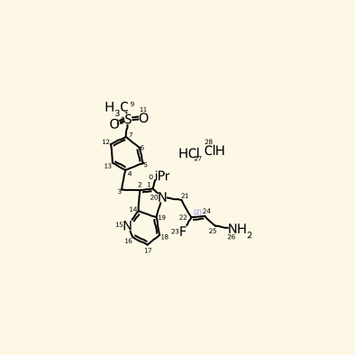 CC(C)c1c(Cc2ccc(S(C)(=O)=O)cc2)c2ncccc2n1C/C(F)=C/CN.Cl.Cl